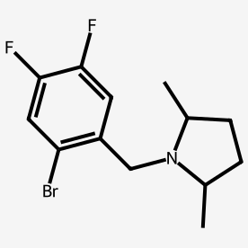 CC1CCC(C)N1Cc1cc(F)c(F)cc1Br